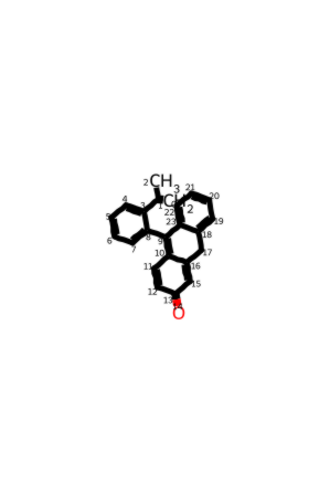 C=C(C)c1ccccc1C1=C2C=CC(=O)C=C2Cc2ccccc21